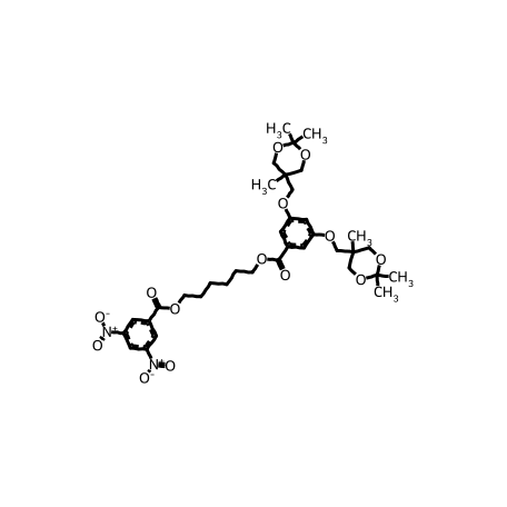 CC1(COc2cc(OCC3(C)COC(C)(C)OC3)cc(C(=O)OCCCCCCOC(=O)c3cc([N+](=O)[O-])cc([N+](=O)[O-])c3)c2)COC(C)(C)OC1